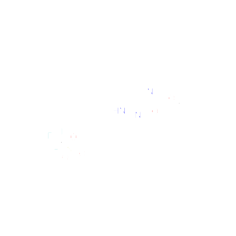 CC(C)(C)OC(=O)N1CCC[C@H]1c1nc2c([nH]1)-c1ccc(OS(=O)(=O)C(F)(F)F)cc1CC2